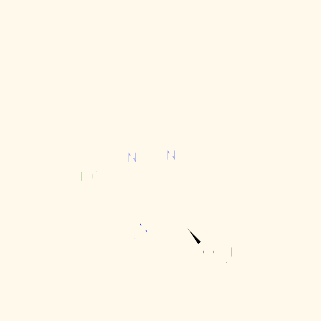 Cc1cnn(C[C@H](N)C(=O)O)c1.Cl